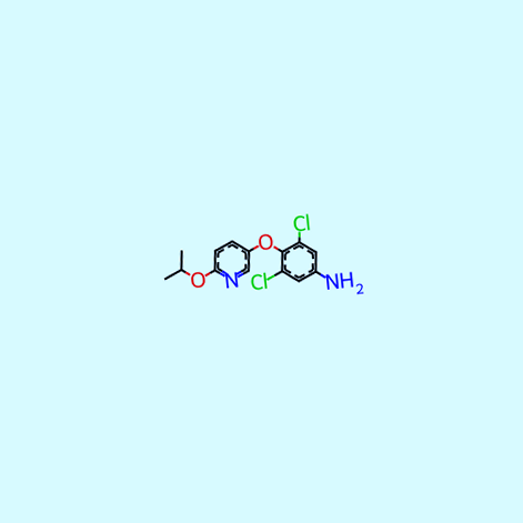 CC(C)Oc1ccc(Oc2c(Cl)cc(N)cc2Cl)cn1